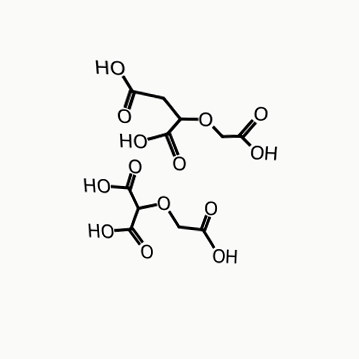 O=C(O)COC(C(=O)O)C(=O)O.O=C(O)COC(CC(=O)O)C(=O)O